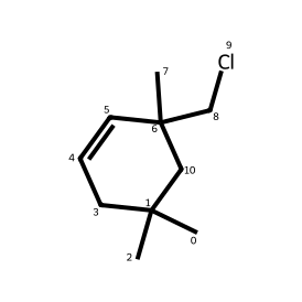 CC1(C)CC=CC(C)(CCl)C1